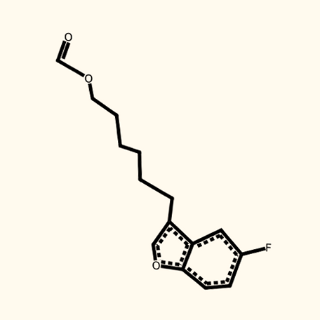 O=COCCCCCCc1coc2ccc(F)cc12